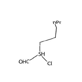 CCCCC[SH](Cl)C=O